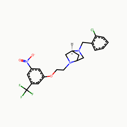 O=[N+]([O-])c1cc(OCCN2C[C@@H]3CC2CN3Cc2ccccc2Cl)cc(C(F)(F)F)c1